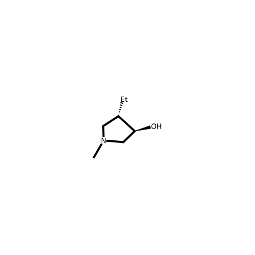 CC[C@H]1CN(C)C[C@@H]1O